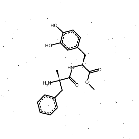 COC(=O)[C@H](Cc1ccc(O)c(O)c1)NC(=O)[C@@](C)(N)Cc1ccccc1